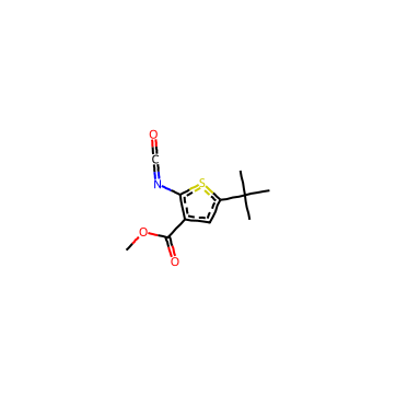 COC(=O)c1cc(C(C)(C)C)sc1N=C=O